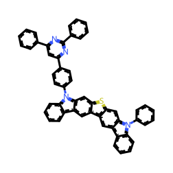 c1ccc(-c2cc(-c3ccc(-n4c5ccccc5c5cc6c(cc54)sc4cc5c(cc46)c4ccccc4n5-c4ccccc4)cc3)nc(-c3ccccc3)n2)cc1